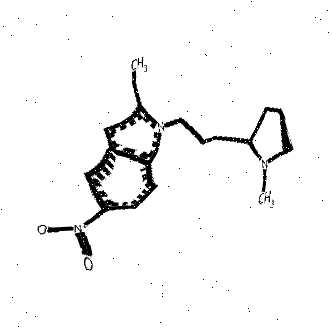 Cc1cc2cc([N+](=O)[O-])ccc2n1CCC1CCCN1C